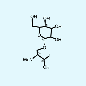 CN[C@@H](CO[C@@H]1OC(CO)[C@@H](O)C(O)C1O)[C@H](O)I